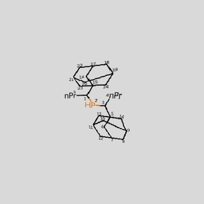 CCCC(PC(CCC)C12CC3CC(CC(C3)C1)C2)C12CC3CC(CC(C3)C1)C2